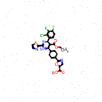 CCOC(=O)C1=C(C2CCC(c3ncc(C(=O)O)o3)CC2)NC(c2nccs2)=NC1c1ccc(F)c(F)c1Cl